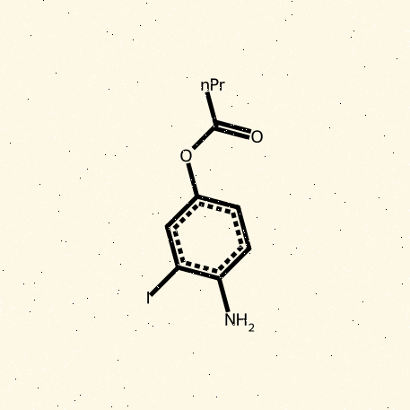 CCCC(=O)Oc1ccc(N)c(I)c1